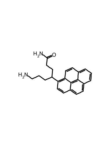 NCCCC(CCC(N)=O)c1ccc2ccc3cccc4ccc1c2c34